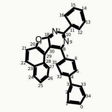 c1ccc(-c2ccc(-c3nc(-c4ccccc4)nc4oc5ccc6ccccc6c5c34)cc2)cc1